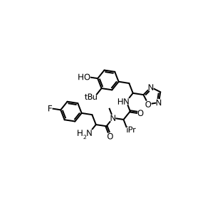 CC(C)C(C(=O)NC(Cc1ccc(O)c(C(C)(C)C)c1)c1ncno1)N(C)C(=O)C(N)Cc1ccc(F)cc1